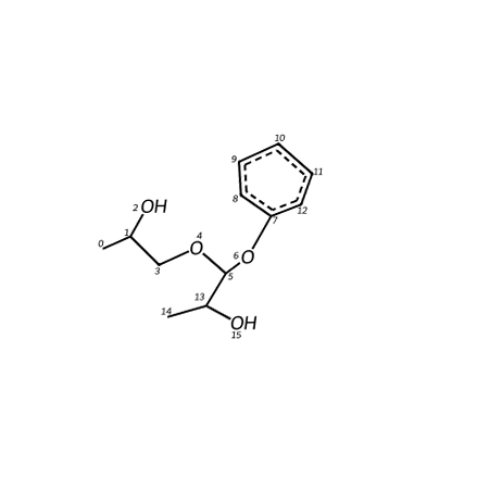 CC(O)COC(Oc1ccccc1)C(C)O